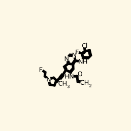 C=CC(=O)Nc1cc2c(Nc3cccc(Cl)c3F)ncnc2cc1C#CC1(C)CCN(CCF)C1